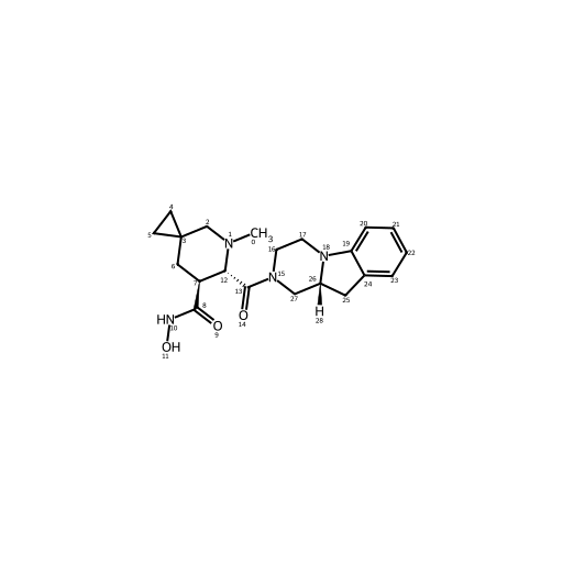 CN1CC2(CC2)C[C@H](C(=O)NO)[C@H]1C(=O)N1CCN2c3ccccc3C[C@@H]2C1